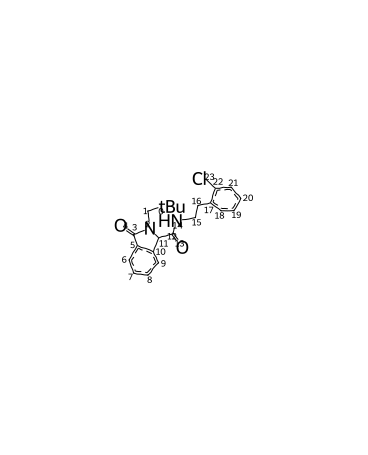 CC(C)(C)CN1C(=O)c2ccccc2C1C(=O)NCCc1ccccc1Cl